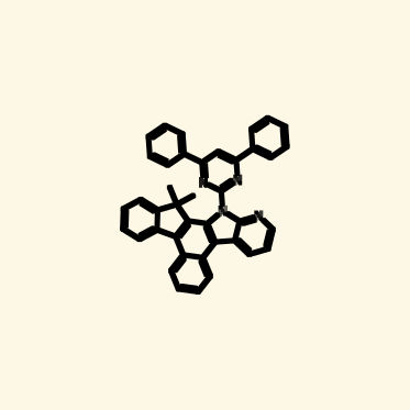 CC1(C)c2ccccc2-c2c1c1c(c3ccccc23)c2cccnc2n1-c1nc(-c2ccccc2)cc(-c2ccccc2)n1